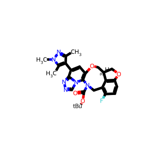 Cc1nn(C)c(C)c1-c1cc2c(n3cnnc13)N(C(=O)OC(C)(C)C)Cc1c(F)ccc3c1[C@H](CO3)CO2